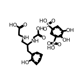 O=C(O)CNCC(Cc1ccccc1O)NCC(=O)O.O=S(=O)(O)c1cc(O)c(O)c(S(=O)(=O)O)c1